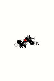 N#Cc1ccc2nc([C@]3(O)C4CC5C[C@H]3C[C@](OCc3c(-c6c(Cl)cccc6Cl)noc3C3CC3)(C5)C4)sc2c1